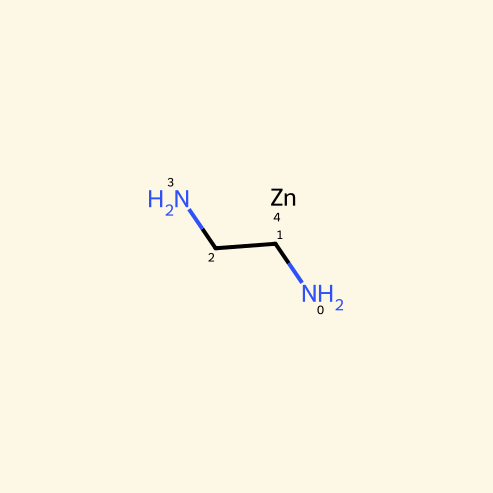 NCCN.[Zn]